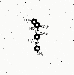 COc1cc(N=Nc2ccc(N)cc2)c(C)cc1N=Nc1c(S(=O)(=O)O)cc2ccc(N)cc2c1O